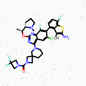 C[C@H](Oc1nc(N2CCCC3(CN(C(=O)N4CC(F)(F)C4)C3)C2)c2cc(Cl)c(-c3ccc(F)c4sc(N)c(C#N)c34)c(F)c2n1)[C@@H]1CCCN1C